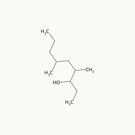 CCCC(C)CC(C)C(O)CC